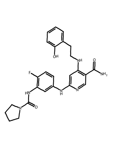 NC(=O)c1cnc(Nc2ccc(F)c(NC(=O)N3CCCC3)c2)cc1NCCc1ccccc1O